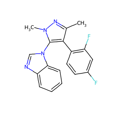 Cc1nn(C)c(-n2cnc3ccccc32)c1-c1ccc(F)cc1F